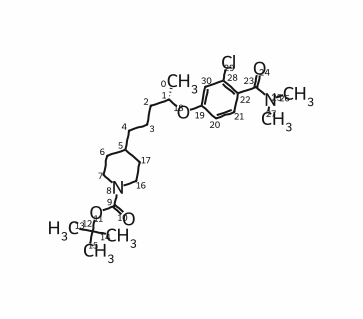 C[C@@H](CCCC1CCN(C(=O)OC(C)(C)C)CC1)Oc1ccc(C(=O)N(C)C)c(Cl)c1